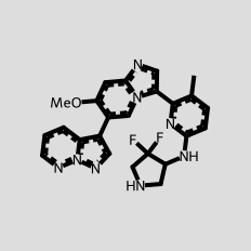 COc1cc2ncc(-c3nc(NC4CNCC4(F)F)ccc3C)n2cc1-c1cnn2ncccc12